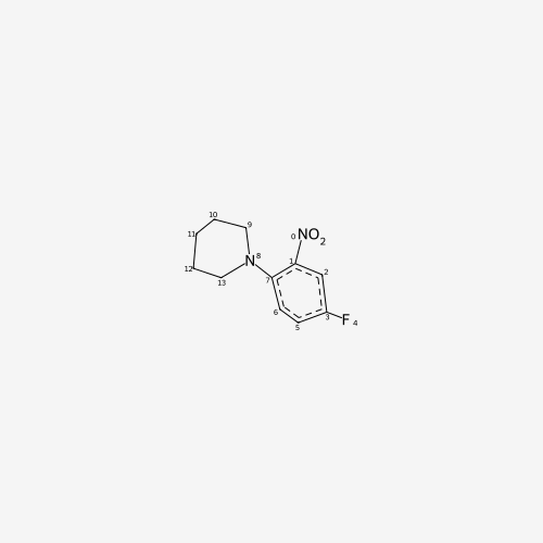 O=[N+]([O-])c1cc(F)ccc1N1CCCCC1